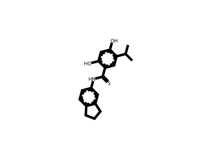 CC(C)c1cc(C(=S)Nc2ccc3c(c2)CCC3)c(O)cc1O